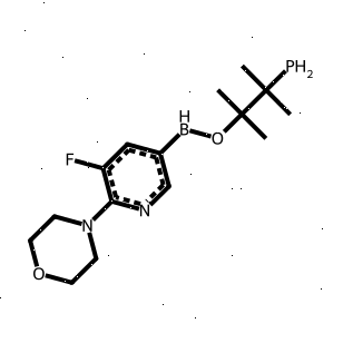 CC(C)(P)C(C)(C)OBc1cnc(N2CCOCC2)c(F)c1